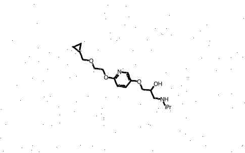 CC(C)NCC(O)COc1ccc(OCCOCC2CC2)nc1